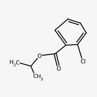 CC(C)OC(=O)c1c[c]ccc1Cl